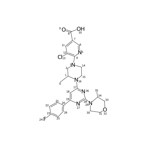 CC1CN(c2ncc(C(=O)O)cc2Cl)CCN1c1cc(-c2ccc(F)cc2)nc(N2CCOCC2C)n1